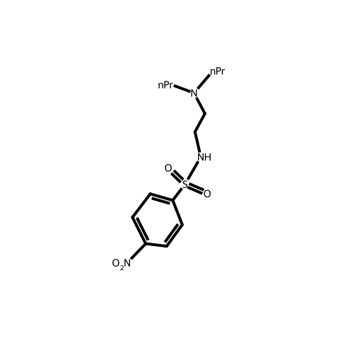 CCCN(CCC)CCNS(=O)(=O)c1ccc([N+](=O)[O-])cc1